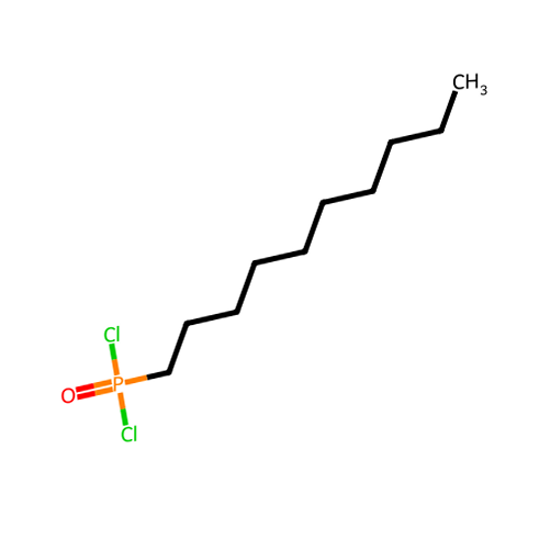 CCCCCCCCCCP(=O)(Cl)Cl